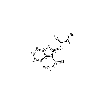 CCOC(=O)C(CC)n1c(=NC(=O)OC(C)(C)C)sc2ccccc21